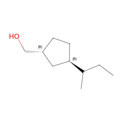 CCC(C)[C@@H]1CC[C@@H](CO)C1